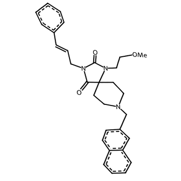 COCCN1C(=O)N(C/C=C/c2ccccc2)C(=O)C12CCN(Cc1ccc3ccccc3c1)CC2